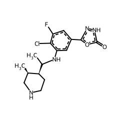 CC(Nc1cc(-c2n[nH]c(=O)o2)cc(F)c1Cl)[C@H]1CCNC[C@H]1C